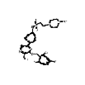 CC(=O)N1CCN(CCS(=O)(=O)Nc2ccc(-c3cnc(N)c(OCc4c(F)ccc(F)c4Cl)n3)cc2)CC1